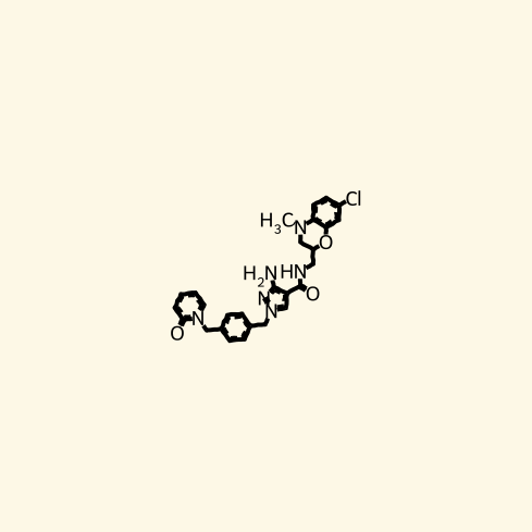 CN1CC(CNC(=O)c2cn(Cc3ccc(Cn4ccccc4=O)cc3)nc2N)Oc2cc(Cl)ccc21